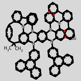 CC(C)(C)c1cc2c3c(c1)N(c1c(-c4ccccc4)cccc1-c1ccccc1)c1ccccc1B3c1cc3c(cc1N2c1ccc2c4ccccc4c4ccccc4c2c1)N(c1ccc2c4ccccc4c4ccccc4c2c1)c1cc2cc4c1B3c1ccccc1N4c1c(-c3ccccc3)cccc1-c1ccc(cc1)C2(C)C